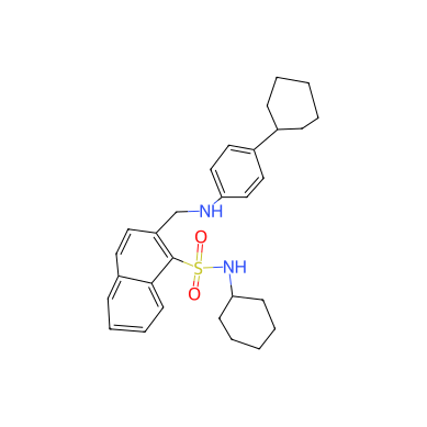 O=S(=O)(NC1CCCCC1)c1c(CNc2ccc(C3CCCCC3)cc2)ccc2ccccc12